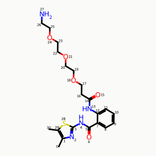 Cc1nc(NC(=O)c2ccccc2NC(=O)CCOCCOCCOCCN)sc1C